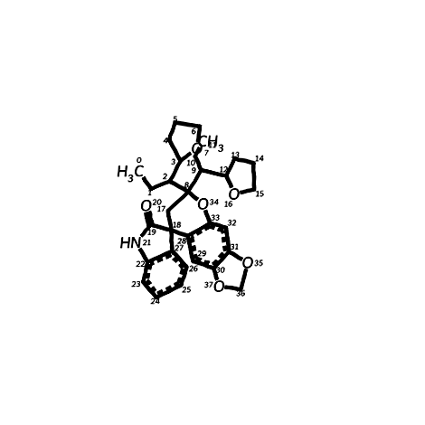 CCC(C1CCCO1)C1(C(CC)C2CCCO2)CC2(C(=O)Nc3ccccc32)c2cc3c(cc2O1)OCO3